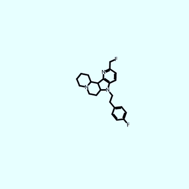 FCc1ccc2c(n1)C1C3CCCCN3CCC1N2CCc1ccc(F)cc1